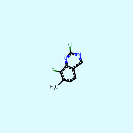 Fc1c(C(F)(F)F)ccc2cnc(Cl)nc12